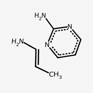 C/C=C/N.Nc1ncccn1